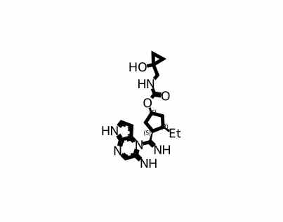 CC[C@@H]1C[C@H](OC(=O)NCC2(O)CC2)C[C@@H]1C(=N)n1c(=N)cnc2[nH]ccc21